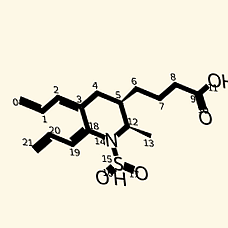 C=C/C=C1/C[C@@H](CCCC(=O)O)[C@@H](C)N([SH](=O)=O)/C1=C/C=C